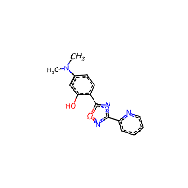 CN(C)c1ccc(-c2nc(-c3ccccn3)no2)c(O)c1